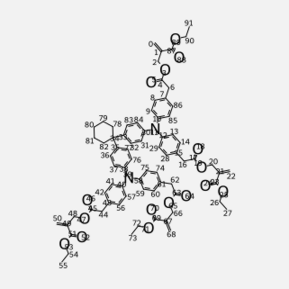 C=C(COC(=O)Cc1ccc(N(c2ccc(CC(=O)OCC(=C)C(=O)OCC)cc2)c2ccc(C3(c4ccc(N(c5ccc(CC(=O)OCC(=C)C(=O)OCC)cc5)c5ccc(CC(=O)OCC(=C)C(=O)OCC)cc5)cc4)CCCCC3)cc2)cc1)C(=O)OCC